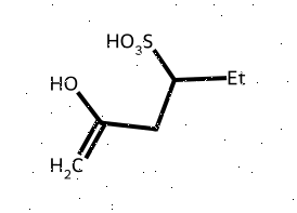 C=C(O)CC(CC)S(=O)(=O)O